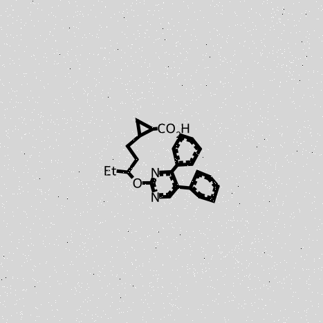 CCC(CCC1CC1C(=O)O)Oc1ncc(-c2ccccc2)c(-c2ccccc2)n1